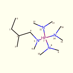 CCC(C)CN(C)[PH](N(C)C)(N(C)C)N(C)C